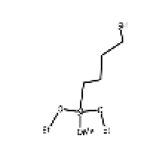 CCO[Si](CCCCS)(OC)OCC